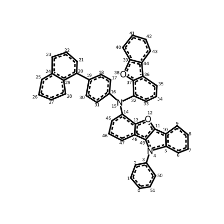 c1ccc(-n2c3ccccc3c3oc4c(N(c5ccc(-c6cccc7ccccc67)cc5)c5cccc6c5oc5ccccc56)cccc4c32)cc1